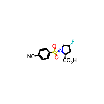 N#Cc1ccc(S(=O)(=O)N2C[C@H](F)C[C@H]2C(=O)O)cc1